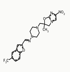 CC1(CN2CCN(/N=C/c3cc4cc(C(F)(F)F)ccc4o3)CC2)Cn2cc([N+](=O)[O-])nc2O1